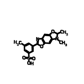 Cc1cc(-c2nc3cc4c(cc3o2)N(C)C(C)O4)cc(S(=O)(=O)O)c1